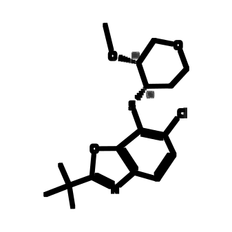 CO[C@@H]1COCC[C@@H]1Sc1c(Cl)ccc2nc(C(C)(C)C)oc12